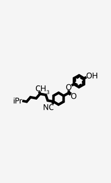 CC(C)CCCC(C)CCC1(C#N)CCC(C(=O)Oc2ccc(O)cc2)CC1